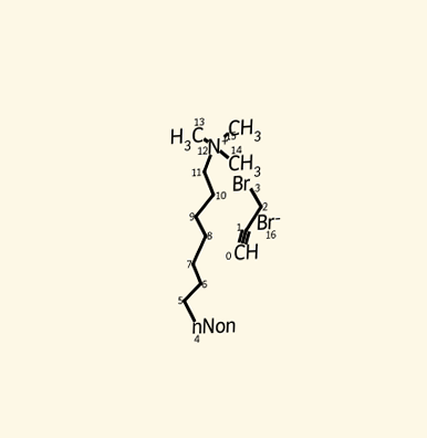 C#CCBr.CCCCCCCCCCCCCCCC[N+](C)(C)C.[Br-]